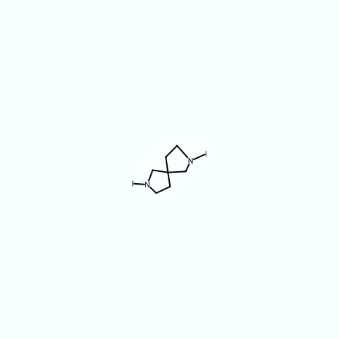 IN1CCC2(CCN(I)C2)C1